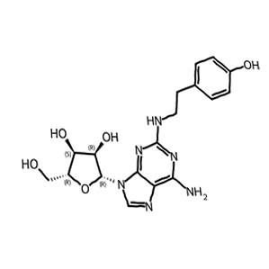 Nc1nc(NCCc2ccc(O)cc2)nc2c1ncn2[C@@H]1O[C@H](CO)[C@@H](O)[C@H]1O